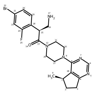 C[C@@H]1CCc2ncnc(N3CCN(C(=O)[C@H](CN)c4ccc(Br)cc4F)CC3)c21